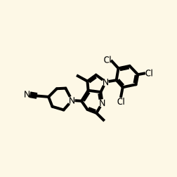 Cc1cc(N2CCC(C#N)CC2)c2c(C)cn(-c3c(Cl)cc(Cl)cc3Cl)c2n1